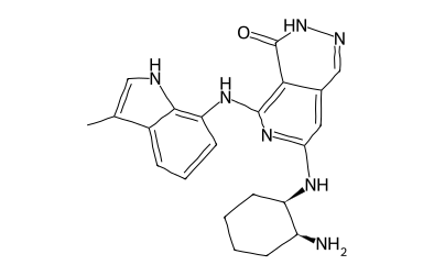 Cc1c[nH]c2c(Nc3nc(N[C@@H]4CCCC[C@@H]4N)cc4cn[nH]c(=O)c34)cccc12